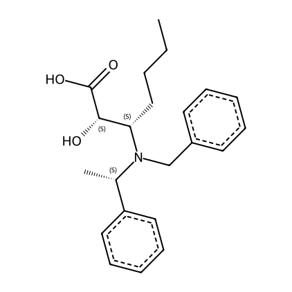 CCCC[C@@H]([C@H](O)C(=O)O)N(Cc1ccccc1)[C@@H](C)c1ccccc1